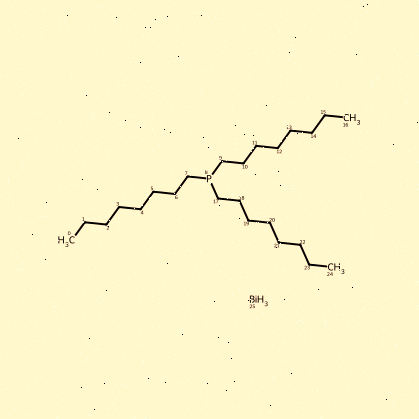 CCCCCCCCP(CCCCCCCC)CCCCCCCC.[BiH3]